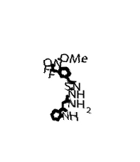 COCN1C(=O)C(F)(F)c2cc(-c3cnc(NC[C@@H](N)Cc4c[nH]c5ccccc45)s3)ccc21